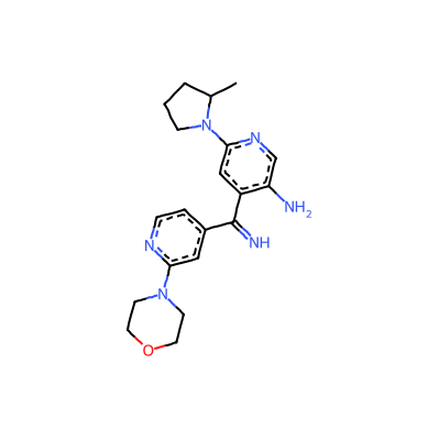 CC1CCCN1c1cc(C(=N)c2ccnc(N3CCOCC3)c2)c(N)cn1